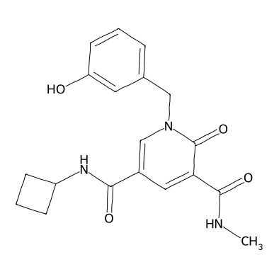 CNC(=O)c1cc(C(=O)NC2CCC2)cn(Cc2cccc(O)c2)c1=O